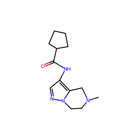 CN1CCn2ncc(NC(=O)C3CCCC3)c2C1